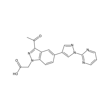 CC(=O)c1nn(CC(=O)O)c2ccc(-c3cnn(-c4ncccn4)c3)cc12